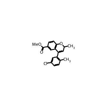 COC(=O)c1ccc2c(c1)C(c1cc(Cl)ccc1C)=CC(C)O2